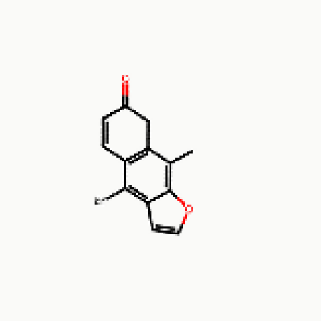 CCc1c2c(c(C)c3occc13)CC(=O)C=C2